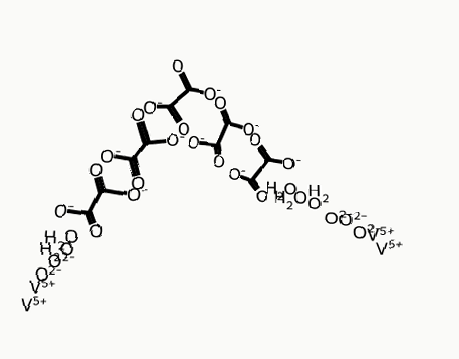 O.O.O.O.O.O=C([O-])C(=O)[O-].O=C([O-])C(=O)[O-].O=C([O-])C(=O)[O-].O=C([O-])C(=O)[O-].O=C([O-])C(=O)[O-].[O-2].[O-2].[O-2].[O-2].[O-2].[V+5].[V+5].[V+5].[V+5]